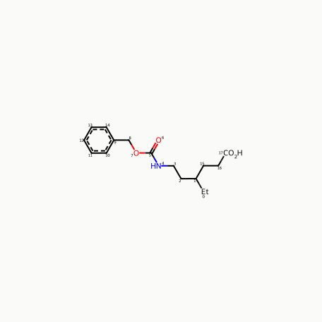 CCC(CCNC(=O)OCc1ccccc1)CCC(=O)O